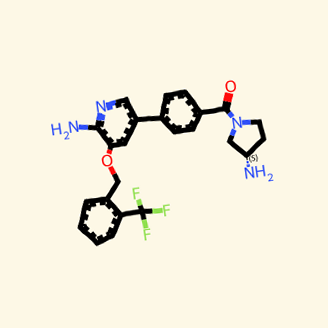 Nc1ncc(-c2ccc(C(=O)N3CC[C@H](N)C3)cc2)cc1OCc1ccccc1C(F)(F)F